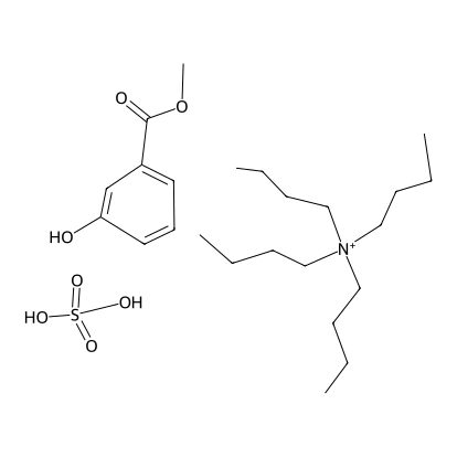 CCCC[N+](CCCC)(CCCC)CCCC.COC(=O)c1cccc(O)c1.O=S(=O)(O)O